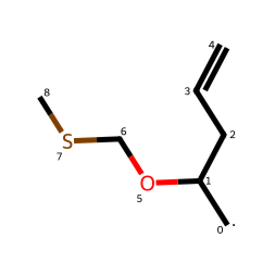 [CH2]C(CC=C)OCSC